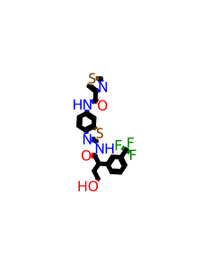 O=C(Nc1ccc2nc(NC(=O)C(CCO)c3cccc(C(F)(F)F)c3)sc2c1)c1cscn1